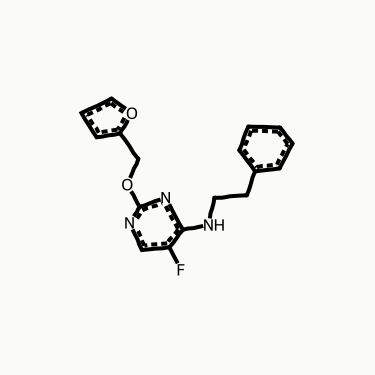 Fc1cnc(OCc2ccco2)nc1NCCc1ccccc1